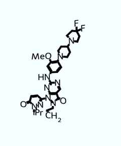 C=CCn1c(=O)c2cnc(Nc3ccc(N4CCC(N5CCC(F)(F)CC5)CC4)c(OC)c3)nc2n1-c1ccc(=O)n(C(C)C)n1